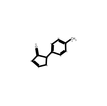 Cc1ccc(C2CC=CC2=O)cc1